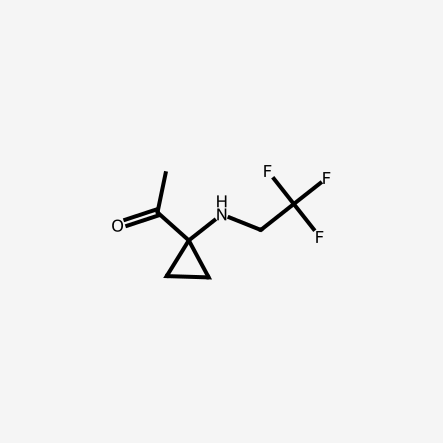 CC(=O)C1(NCC(F)(F)F)CC1